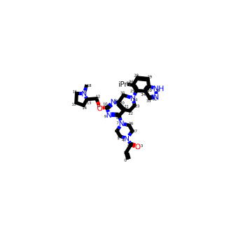 C=CC(=O)N1CCN(c2nc(OCC3CCCN3C)nc3c2CCN(c2c(C(C)C)ccc4[nH]ncc24)C3)CC1